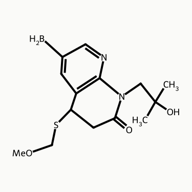 Bc1cnc2c(c1)C(SCOC)CC(=O)N2CC(C)(C)O